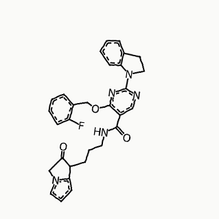 O=C(NCCCC1C(=O)Cn2cccc21)c1cnc(N2CCc3ccccc32)nc1OCc1ccccc1F